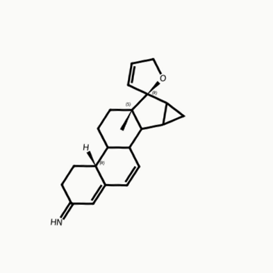 C[C@]12CCC3C(C=CC4=CC(=N)CC[C@@H]43)C1C1CC1[C@@]21C=CCO1